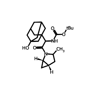 CC1C[C@@H]2C[C@@H]2N1C(=O)C(NC(=O)OC(C)(C)C)C12CC3CC(CC(O)(C3)C1)C2